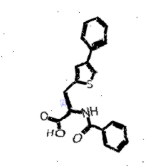 O=C(O)/C(=C/c1cc(-c2ccccc2)cs1)NC(=O)c1ccccc1